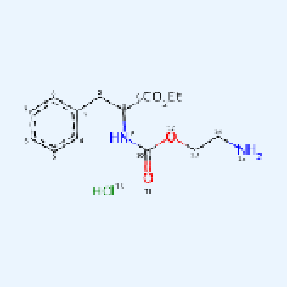 CCOC(=O)C(Cc1ccccc1)NC(=O)OCCN.Cl